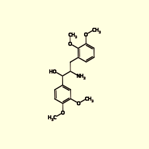 COc1ccc(C(O)C(N)Cc2cccc(OC)c2OC)cc1OC